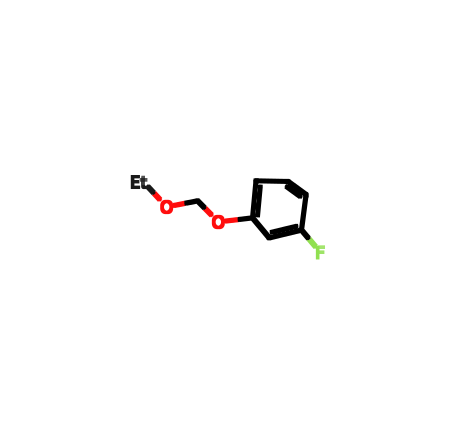 CCOCOc1cccc(F)c1